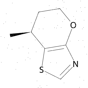 C[C@H]1CCOc2ncsc21